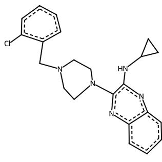 Clc1ccccc1CN1CCN(c2nc3ccccc3nc2NC2CC2)CC1